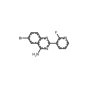 Nc1nc(-c2cccnc2F)nc2ccc(Br)cc12